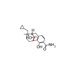 C[N+]1(CC2CC2)CCC23CCCC[C@@]2(O)[C@H]1Cc1ccc(C(N)=O)c(O)c13